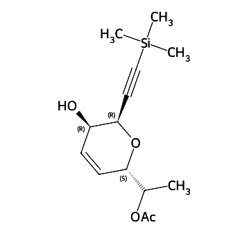 CC(=O)OC(C)[C@@H]1C=C[C@@H](O)[C@@H](C#C[Si](C)(C)C)O1